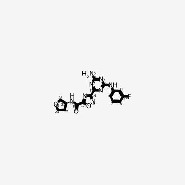 Nc1nc(Nc2cccc(F)c2)nc(-c2noc(C(=O)N[C@@H]3CCOC3)n2)n1